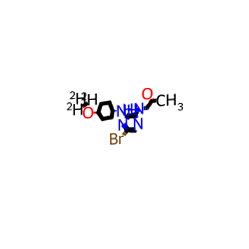 [2H]C([2H])([2H])O[C@H]1CC[C@H](Nc2nc(Br)cnc2NCC(C)=O)CC1